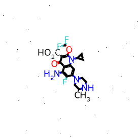 C[C@H]1CN(c2cc3c(c(N)c2F)c(=O)c(C(=O)O)c(OC(F)F)n3C2CC2)CCN1